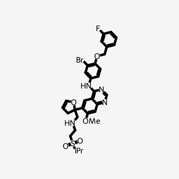 COc1cc2ncnc(Nc3ccc(OCc4cccc(F)c4)c(Br)c3)c2cc1C1(CNCCS(=O)(=O)C(C)C)CC=CO1